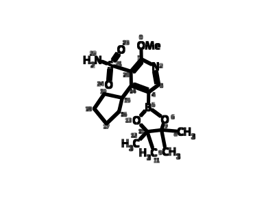 COc1ncc(B2OC(C)(C)C(C)(C)O2)c(C2CCCC2)c1S(N)(=O)=O